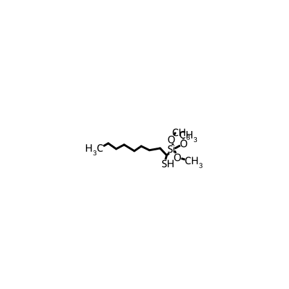 CCCCCCCCC(S)[Si](OC)(OC)OC